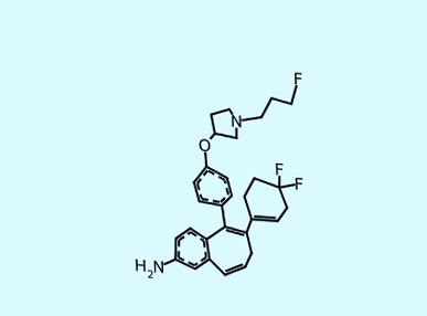 Nc1ccc2c(c1)C=CCC(C1=CCC(F)(F)CC1)=C2c1ccc(OC2CCN(CCCF)C2)cc1